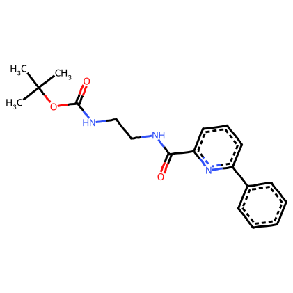 CC(C)(C)OC(=O)NCCNC(=O)c1cccc(-c2ccccc2)n1